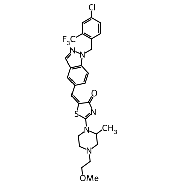 COCCN1CCN(C2=NC(=O)/C(=C\c3ccc4c(cnn4Cc4ccc(Cl)cc4C(F)(F)F)c3)S2)C(C)C1